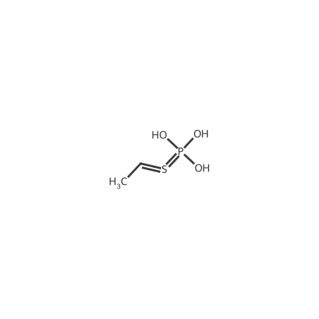 CC=S=P(O)(O)O